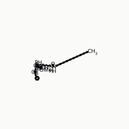 B[C@@H]1O[C@H](COC(=O)OCc2ccccc2)C(OP(=O)(O)OC)[C@@H]1C/C=C/CCCCNC(=O)NC#CC#CC#CC#CC#CC#CC#CC#CC#CC#CC